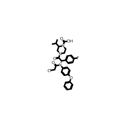 CC(C)C1CN(C(=O)[C@H](c2ccc(F)cc2)N(C(=O)CCl)c2ccc(Oc3ccccc3)cc2)CCN1C(=O)O